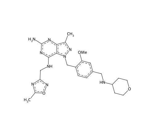 COc1cc(CNC2CCOCC2)ccc1Cn1nc(C)c2nc(N)nc(NCc3noc(C)n3)c21